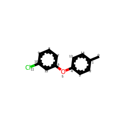 Cc1ccc(Oc2cccc(Cl)c2)cc1